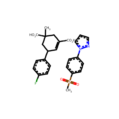 CC1(C(=O)O)CC(C(=O)O)=CC(c2ccc(F)cc2)C1.CS(=O)(=O)c1ccc(-n2cccn2)cc1